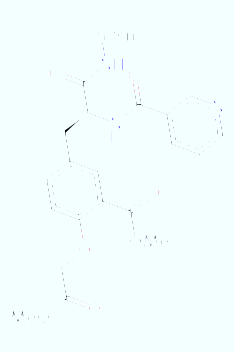 CCCCCNC(=O)[C@H](Cc1ccc(OCC(=O)OC)c(C(=O)OC)c1)NC(=O)c1cccnc1